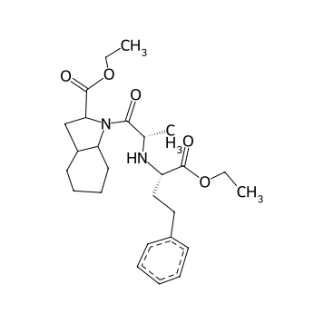 CCOC(=O)C1CC2CCCCC2N1C(=O)[C@H](C)N[C@@H](CCc1ccccc1)C(=O)OCC